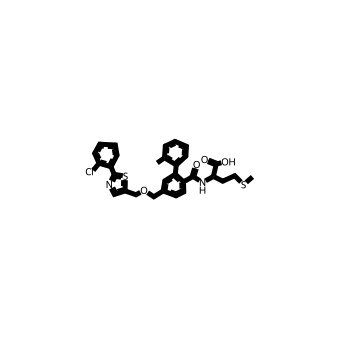 CSCCC(NC(=O)c1ccc(COCc2cnc(-c3ccccc3Cl)s2)cc1-c1ccccc1C)C(=O)O